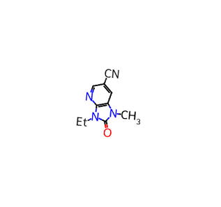 CCn1c(=O)n(C)c2cc(C#N)cnc21